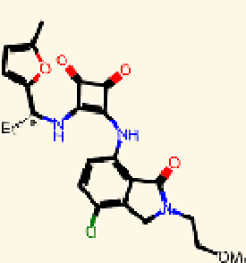 CC[C@@H](Nc1c(Nc2ccc(Cl)c3c2C(=O)N(CCOC)C3)c(=O)c1=O)c1ccc(C)o1